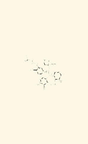 CC(=O)OCOc1c2n(ccc1=O)N(C1c3ccc(F)c(F)c3CSc3c(F)cccc31)CC1(CC1C)C2=O